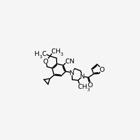 CC1CN(c2cc(C3CC3)c3c(c2C#N)CC(C)(C)OC3)CCN1C(=O)c1ccoc1